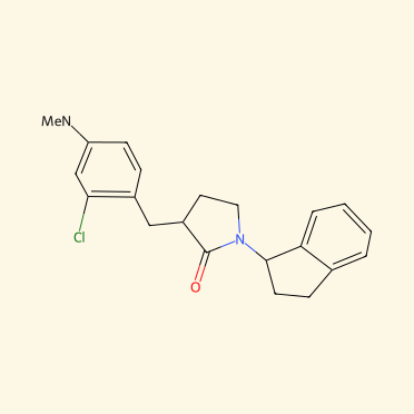 CNc1ccc(CC2CCN(C3CCc4ccccc43)C2=O)c(Cl)c1